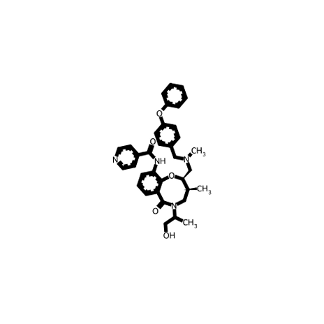 CC(CO)N1C[C@H](C)[C@H](CN(C)Cc2ccc(Oc3ccccc3)cc2)Oc2c(NC(=O)c3ccncc3)cccc2C1=O